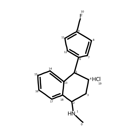 CNC1CCC(c2ccc(F)cc2)c2ccccc21.Cl